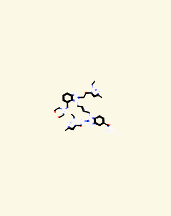 CCn1nc(C)cc1C(=O)Cc1nc2cccc(CN3CCOCC3)c2n1C/C=C/Cn1c(NC(=O)c2cc(C)nn2CC)nc2cc(C(N)=O)ccc21